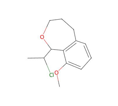 COc1cccc2c1C(C(C)Cl)OCCC2